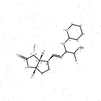 CCCCC(F)C(/C=C/[C@H]1CC[C@@H]2OC(=O)[C@H](F)[C@@H]21)OC1CCCCO1